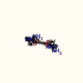 CC1(C)CC(N2CCCC2)=C(NCCN)/C(=C(\C#N)C(=O)OCCCCCCOC(=O)/C(C#N)=C2\CC(C)(C)CC(N3CCCC3)=C2NCCN)C1